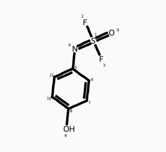 O=S(F)(F)=Nc1ccc(O)cc1